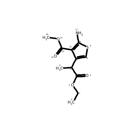 CCOC(=O)C(C)c1csc(N)c1C(=O)OC